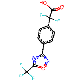 O=C(O)C(F)(F)c1ccc(-c2noc(C(F)(F)F)n2)cc1